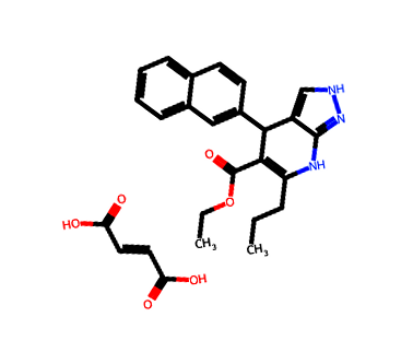 CCCC1=C(C(=O)OCC)C(c2ccc3ccccc3c2)c2c[nH]nc2N1.O=C(O)C=CC(=O)O